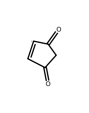 O=C1[C]=CC(=O)C1